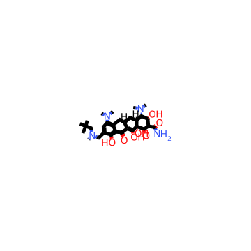 CN(Cc1cc(N(C)C)c2c(c1O)C(=O)C1=C(O)[C@]3(O)C(=O)C(C(N)=O)C(O)[C@@H](N(C)C)[C@@H]3C[C@@H]1C2)CC(C)(C)C